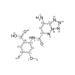 COc1cc(NC(=O)c2cc(N)c3nnnn3n2)c(C(=O)O)cc1F